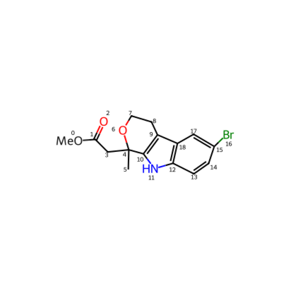 COC(=O)CC1(C)OCCc2c1[nH]c1ccc(Br)cc21